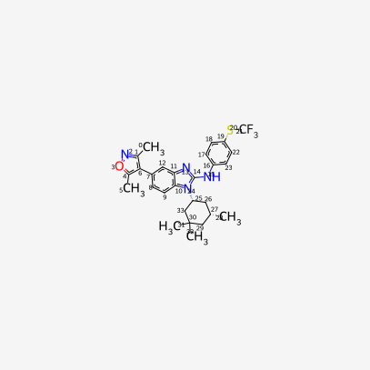 Cc1noc(C)c1-c1ccc2c(c1)nc(Nc1ccc(SC(F)(F)F)cc1)n2[C@@H]1C[C@H](C)CC(C)(C)C1